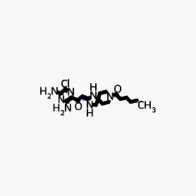 CCCCCC(=O)N1CCC2(CC1)CN/C(=C\C(=O)c1nc(Cl)c(N)nc1N)N2